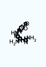 Cc1c(N)cncc1-c1cc2cc(Nc3cc4n(n3)CC(=O)N([C@H]3CCOC3)CC4)ncc2c(N)n1